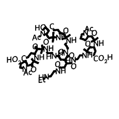 CCNCCNC(=O)CC(C(=O)NCCNC(C)(C)C(=O)C(CCC(=O)O)NC(C)(C)C(=O)C1CCCN1C(C)=O)C(CC(=O)NCCNC(C)(C)C(=O)C(CCC(=O)O)NC(C)(C)C(=O)C1CCCN1C(C)=O)C(=O)NCCNC(C)(C)C(=O)C(CCC(=O)O)NC(C)(C)C(=O)C1CCCN1C(C)=O